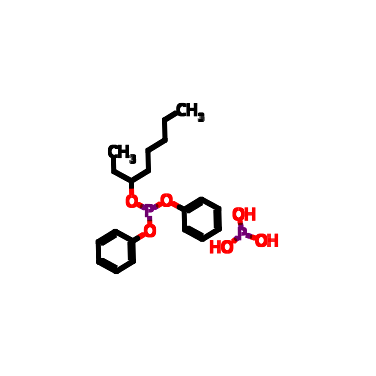 CCCCCC(CC)OP(Oc1ccccc1)Oc1ccccc1.OP(O)O